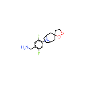 NCc1cc(F)c(N2C3CCC2CC2(CCOO2)C3)cc1F